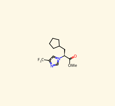 COC(=O)[C@H](CC1CCCC1)n1cnc(C(F)(F)F)c1